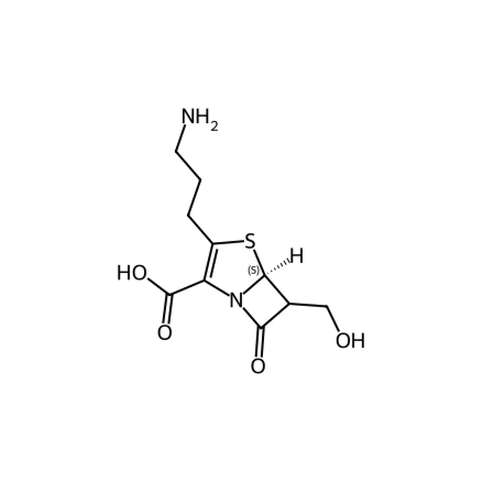 NCCCC1=C(C(=O)O)N2C(=O)C(CO)[C@@H]2S1